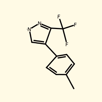 Cc1ccc(C2=C[N]N=C2C(F)(F)F)cc1